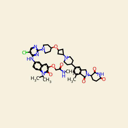 CNC(=O)COc1cc2cc(Nc3nc(N4CCC(OC5CC(N6CCC(c7cc(C)c8c(c7)CN(C7CCC(=O)NC7=O)C8=O)CC6)C5)CC4)ncc3Cl)ccc2n(C(C)C)c1=O